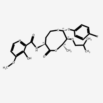 COc1ccnc(C(=O)N[C@H]2CCC[C@H](Oc3ccc(F)cc3)[C@@H](OCC(C)C)[C@H](C)OC2=O)c1O